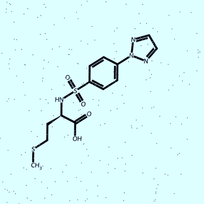 CSCC[C@@H](NS(=O)(=O)c1ccc(-n2nccn2)cc1)C(=O)O